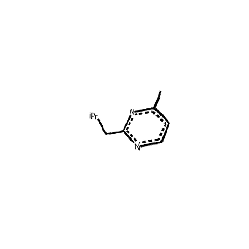 Cc1ccnc(CC(C)C)n1